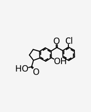 O=C(c1cc2c(cc1O)C(C(=O)O)CC2)c1ccccc1Cl